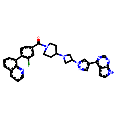 O=C(c1ccc(-c2cccc3cccnc23)c(F)c1)N1CCC(N2C[C](n3cc(-c4ncnc5[nH]ccc45)cn3)C2)CC1